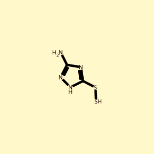 Nc1n[nH]c(SS)n1